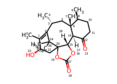 CC1=C2[C@H](C)C[C@]3(C)[C@@H](C)CCC(=O)[C@H]3[C@@H]3OC(=O)OC3(C[C@H]1O)C2(C)C